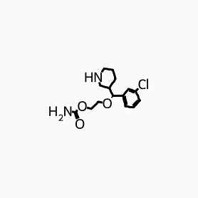 NC(=O)OCCO[C@@H](c1cccc(Cl)c1)C1CCCNC1